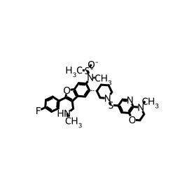 CNCc1c(-c2ccc(F)cc2)oc2cc(N(C)[S+](C)[O-])c([C@@H]3CCCN(Sc4cnc5c(c4)OCCN5C)C3)cc12